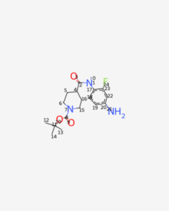 CN(C(=O)C1CCN(C(=O)OC(C)(C)C)CC1)c1ccc(N)cc1F